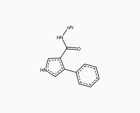 CCCNC(=O)c1c[nH]cc1-c1ccccc1